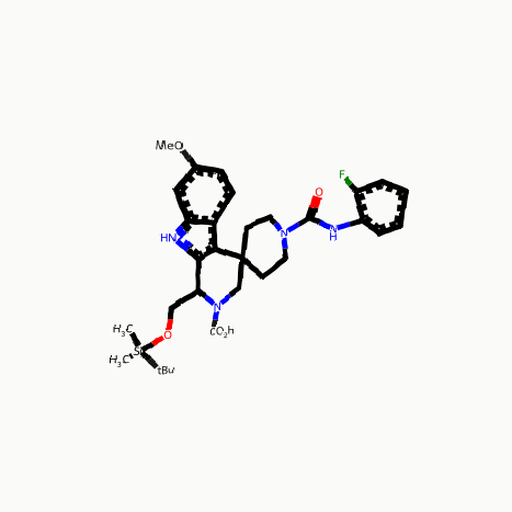 COc1ccc2c3c([nH]c2c1)C(CO[Si](C)(C)C(C)(C)C)N(C(=O)O)CC31CCN(C(=O)Nc2ccccc2F)CC1